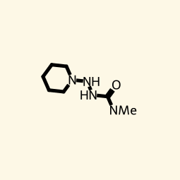 CNC(=O)NNN1CCCCC1